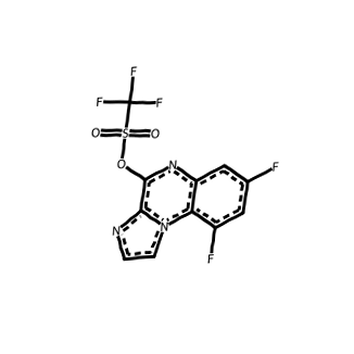 O=S(=O)(Oc1nc2cc(F)cc(F)c2n2ccnc12)C(F)(F)F